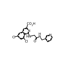 O=C(CNc1nc(C(=O)O)cc2cc(Cl)cc(Cl)c12)NCc1cccnc1